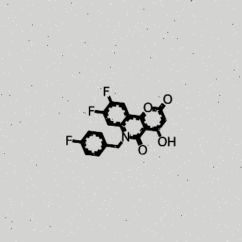 O=c1cc(O)c2c(=O)n(Cc3ccc(F)cc3)c3cc(F)c(F)cc3c2o1